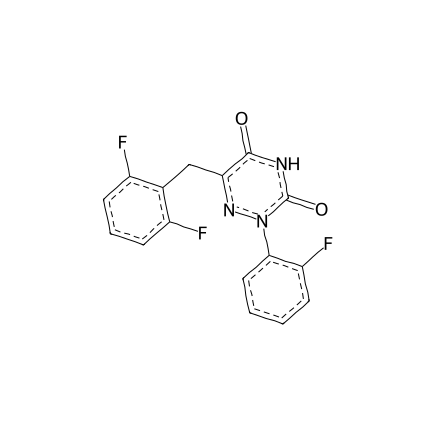 O=c1[nH]c(=O)n(-c2ccccc2F)nc1Cc1c(F)cccc1F